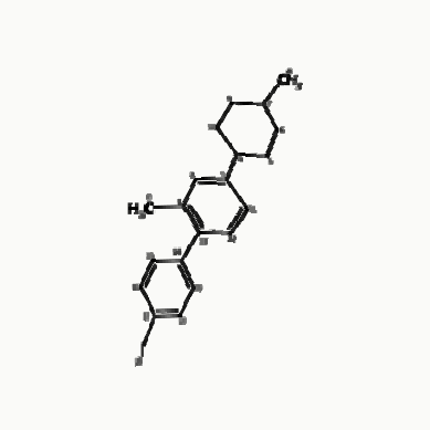 Cc1cc(C2CCC(C)CC2)ccc1-c1ccc(I)cc1